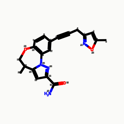 Cc1cc(CC#Cc2ccc3c(c2)-n2nc(C(N)=O)cc2C(C)CO3)no1